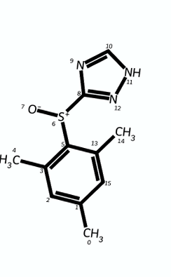 Cc1cc(C)c([S+]([O-])c2nc[nH]n2)c(C)c1